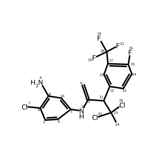 C=C(Nc1ccc(Cl)c(N)c1)C(c1ccc(F)c(C(F)(F)F)c1)C(C)(Cl)Cl